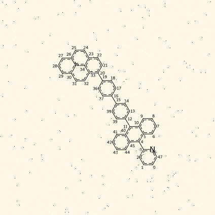 c1ccc(-c2c3ccccc3c(-c3ccc(-c4ccc(-c5ccc6ccc7cccc8ccc5c6c78)cc4)cc3)c3ccccc23)nc1